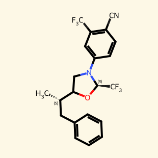 C[C@@H](Cc1ccccc1)C1CN(c2ccc(C#N)c(C(F)(F)F)c2)[C@@H](C(F)(F)F)O1